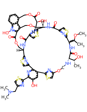 CO/C(C)=C1/NC(=O)[C@H]([C@@H](C)O)NCOc2csc(n2)-c2cc(O)c(-c3nc(CN(C)C)cs3)nc2-c2csc(n2)[C@@H]2COC(=O)c3c4c5c(cccc5n3O)COC(=O)[C@@H](O)[C@@H](OC4)[C@H](NC(=O)c3csc1n3)c1nc(cs1)C(=O)N2